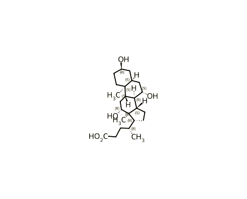 C[C@H](CCC(=O)O)[C@H]1CC[C@H]2[C@@H]3[C@@H](O)C[C@@H]4C[C@H](O)CC[C@]4(C)[C@H]3C[C@@H](O)[C@]12C